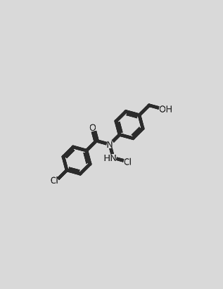 O=C(c1ccc(Cl)cc1)N(NCl)c1ccc(CO)cc1